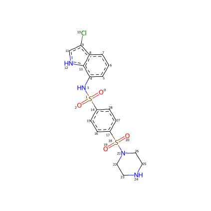 O=S(=O)(Nc1cccc2c(Cl)c[nH]c12)c1ccc(S(=O)(=O)N2CCNCC2)cc1